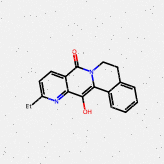 CCc1ccc2c(=O)n3c(c(O)c2n1)-c1ccccc1CC3